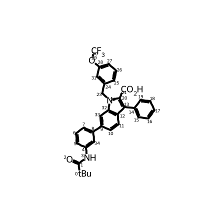 CC(C)(C)C(=O)Nc1cccc(-c2ccc3c(-c4ccccc4)c(C(=O)O)n(Cc4cccc(OC(F)(F)F)c4)c3c2)c1